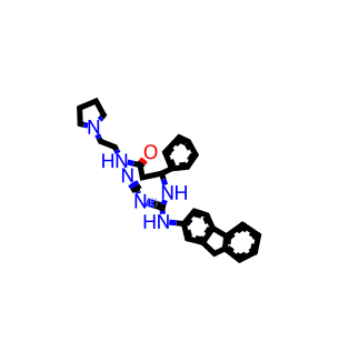 N#C/N=C(/Nc1ccc2c(c1)Cc1ccccc1-2)NC(CC(=O)NCCN1CCCC1)c1ccccc1